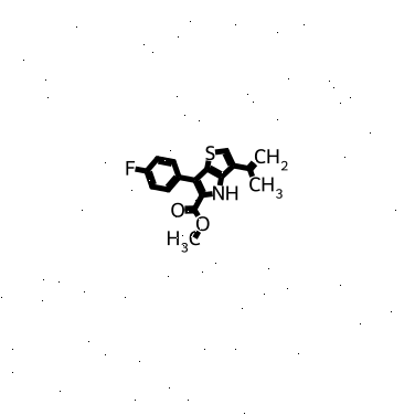 C=C(C)c1csc2c(-c3ccc(F)cc3)c(C(=O)OC)[nH]c12